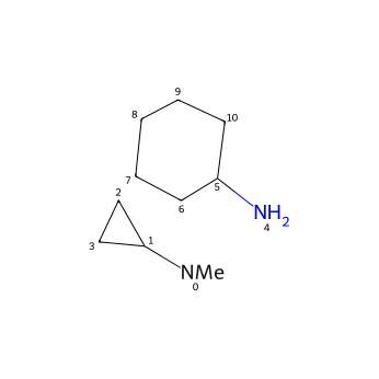 CNC1CC1.NC1CCCCC1